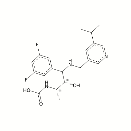 CC(C)c1cncc(CNC(c2cc(F)cc(F)c2)[C@H](O)[C@H](C)NC(=O)O)c1